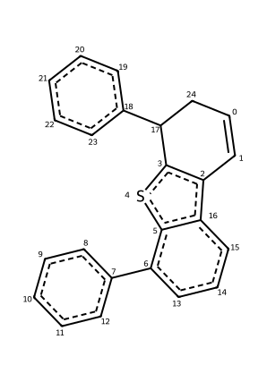 C1=Cc2c(sc3c(-c4ccccc4)cccc23)C(c2ccccc2)C1